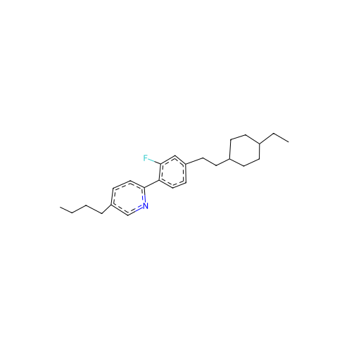 CCCCc1ccc(-c2ccc(CCC3CCC(CC)CC3)cc2F)nc1